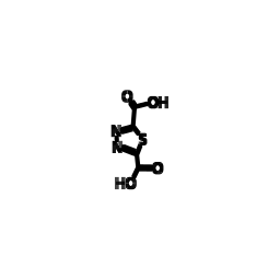 O=C(O)c1nnc(C(=O)O)s1